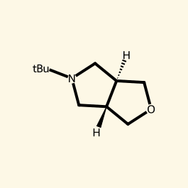 CC(C)(C)N1C[C@H]2COC[C@@H]2C1